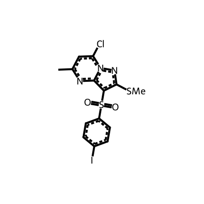 CSc1nn2c(Cl)cc(C)nc2c1S(=O)(=O)c1ccc(I)cc1